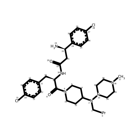 CC(C)CN(C1CCN(C(=O)[C@@H](Cc2ccc(Cl)cc2)NC(=O)C[C@@H](N)c2ccc(Cl)cc2)CC1)N1CCN(C)CC1